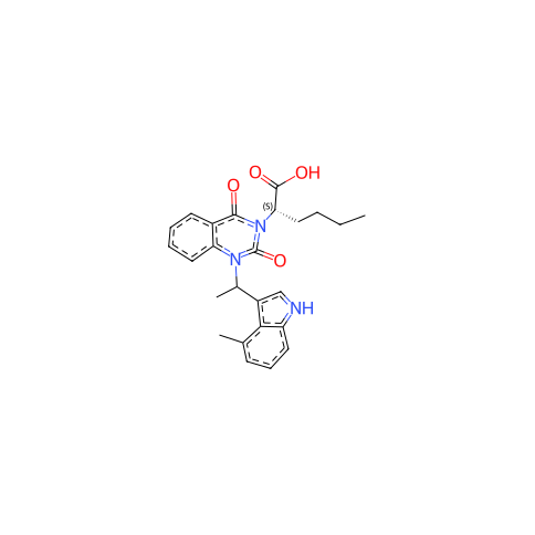 CCCC[C@@H](C(=O)O)n1c(=O)c2ccccc2n(C(C)c2c[nH]c3cccc(C)c23)c1=O